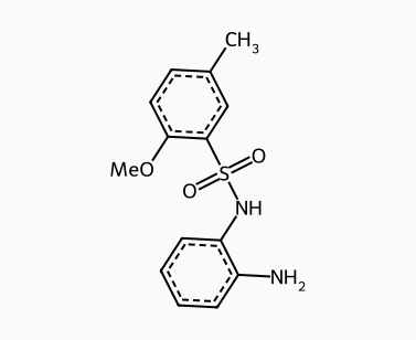 COc1ccc(C)cc1S(=O)(=O)Nc1ccccc1N